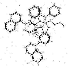 CCC[CH2][Ti]([CH2]CCC)([CH]1C(CC)=Cc2c(-c3cccc4ccccc34)cccc21)([CH]1C(CC)=Cc2c(-c3cccc4ccccc34)cccc21)[SiH](c1ccccc1)c1ccccc1